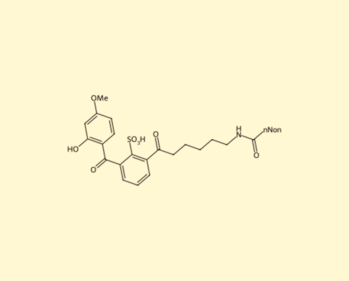 CCCCCCCCCC(=O)NCCCCCC(=O)c1cccc(C(=O)c2ccc(OC)cc2O)c1S(=O)(=O)O